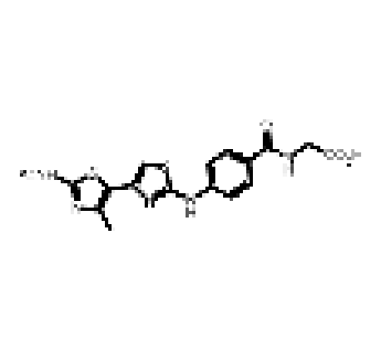 CC(=O)Nc1nc(C)c(-c2csc(Nc3ccc(C(=O)NCC(=O)O)cc3)n2)s1